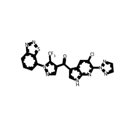 O=C(c1cnn(-c2cccc3nnsc23)c1C(F)(F)F)c1c[nH]c2nc(-n3nccn3)c(Cl)cc12